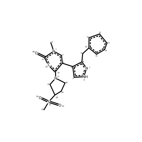 Cn1cc(-c2c[nH]nc2Cc2ccccc2)c(N2CCC(S(C)(=O)=O)C2)cc1=O